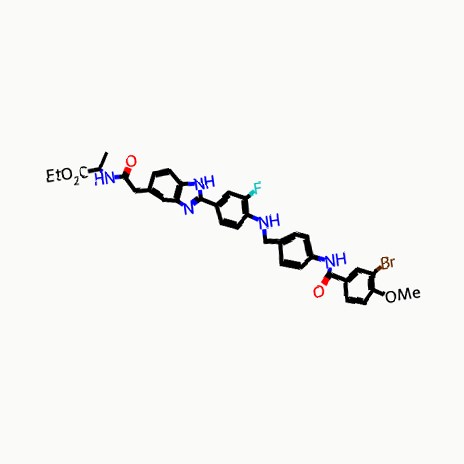 CCOC(=O)C(C)NC(=O)Cc1ccc2[nH]c(-c3ccc(NCc4ccc(NC(=O)c5ccc(OC)c(Br)c5)cc4)c(F)c3)nc2c1